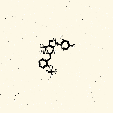 O=c1[nH]c(Cc2ccccc2OC(F)(F)F)nc2c1cnn2-c1ncc(F)cc1F